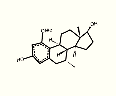 COc1cc(O)cc2c1[C@H]1CC[C@]3(C)[C@@H](O)CC[C@H]3[C@@H]1[C@H](C)C2